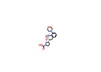 O=C(O)N1CC[C@@H](N2Cc3cccc(N4CCOCC4)c3NS2(=O)=O)C1